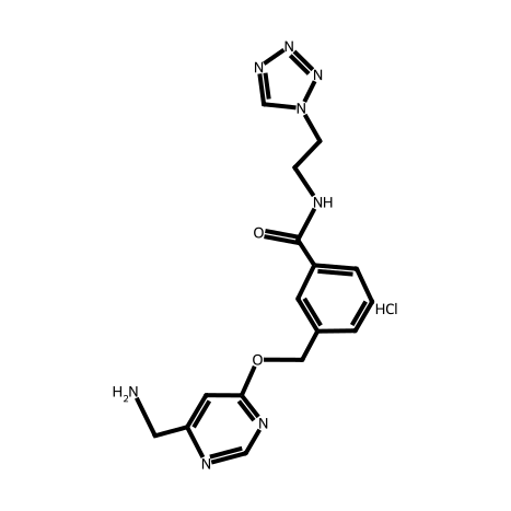 Cl.NCc1cc(OCc2cccc(C(=O)NCCn3cnnn3)c2)ncn1